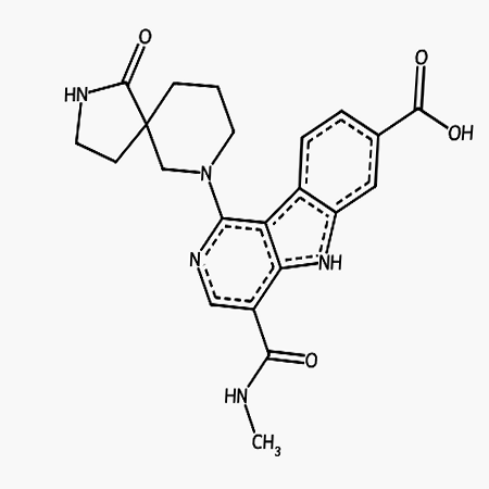 CNC(=O)c1cnc(N2CCCC3(CCNC3=O)C2)c2c1[nH]c1cc(C(=O)O)ccc12